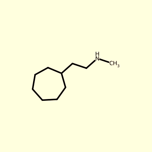 CNCCC1CCCCCC1